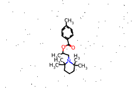 Cc1ccc(C(=O)OC(C)CN2C(C)(C)CCCC2(C)C)cc1